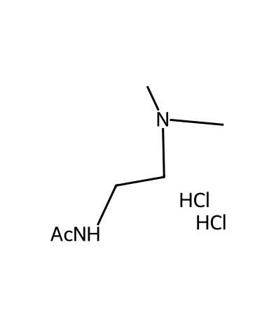 CC(=O)NCCN(C)C.Cl.Cl